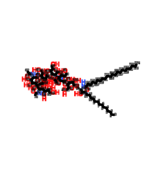 CCCCCCCCCCCCC/C=C/[C@@H](O)[C@H](CO[C@@H]1OC(CO)[C@@H](O[C@@H]2OC(CO)[C@H](O[C@@H]3OC(CO)[C@H](O)[C@H](O[C@@H]4OC(CO)[C@H](O[C@@H]5OC(CO)[C@H](O)[C@H](O)C5NC(C)=O)[C@H](O[C@]5(C(=O)O)CC(O)[C@@H](NC(C)=O)C([C@H](O)[C@H](O)CO)O5)C4O)C3NC(C)=O)[C@H](O)C2O)[C@H](O)C1O)NC(=O)CCCCCCCCCCCCCCCCCCCCC